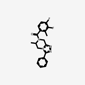 Cc1c(C(=O)N2Cc3nnc(-c4ccccc4)n3CC2C)ccc(F)c1F